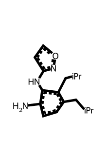 CC(C)Cc1ccc(N)c(Nc2ccon2)c1CC(C)C